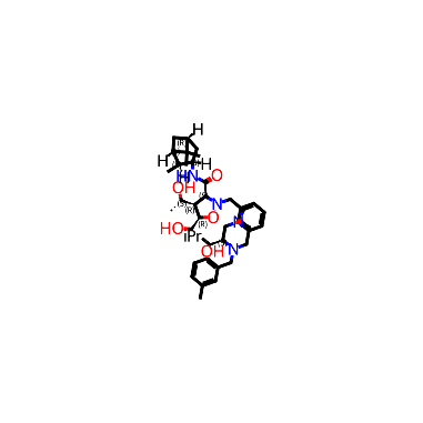 Cc1ccc(O)c(CN(Cc2cccc(CN3O[C@@H](CO)[C@@H]([C@H](C)O)[C@H]3C(=O)N[C@H]3C[C@H]4C[C@@H]([C@@H]3C)C4(C)C)c2)[C@@H](CC(C)C)CN(C)C)c1